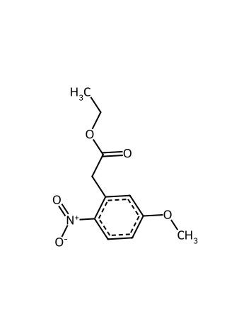 CCOC(=O)Cc1cc(OC)ccc1[N+](=O)[O-]